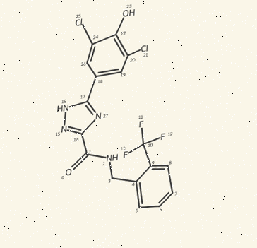 O=C(NCc1ccccc1C(F)(F)F)c1n[nH]c(-c2cc(Cl)c(O)c(Cl)c2)n1